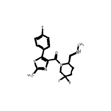 CNCC1CCC(F)(F)CN1C(=O)c1nc(C)sc1-c1ccc(F)cc1